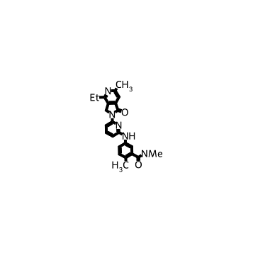 CCc1nc(C)cc2c1CN(c1cccc(Nc3ccc(C)c(C(=O)NC)c3)n1)C2=O